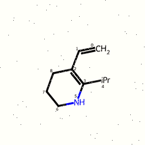 C=CC1=C(C(C)C)NCCC1